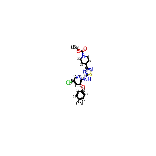 CC(C)(C)OC(=O)N1CCC(c2nsc(Nc3ncc(Cl)cc3Oc3ccc(C#N)cc3)n2)CC1